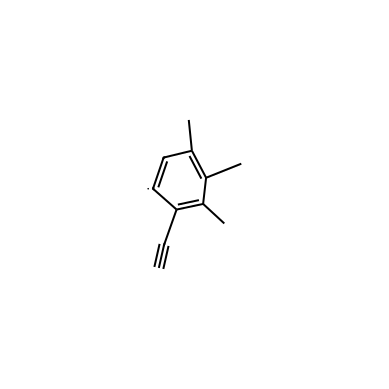 C#Cc1[c]cc(C)c(C)c1C